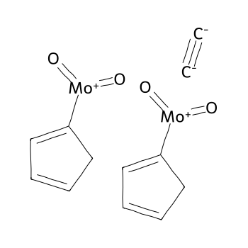 [C-]#[C-].[O]=[Mo+](=[O])[C]1=CC=CC1.[O]=[Mo+](=[O])[C]1=CC=CC1